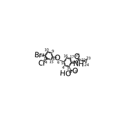 O=C(O)c1cc(COc2ccc(Br)c(Cl)c2)ccc1NC(=O)C1CC1